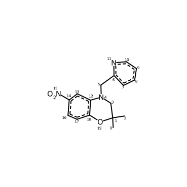 CC1(C)CN(Cc2ccccn2)c2cc([N+](=O)[O-])ccc2O1